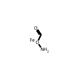 NOC=O.[Fe]